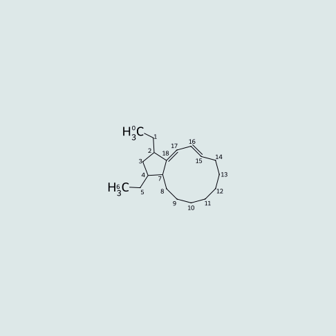 CCC1CC(CC)C2CCCCCCC/C=C/C=C/12